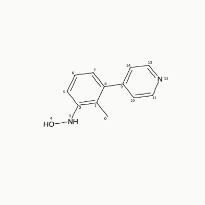 Cc1c(NO)cccc1-c1ccncc1